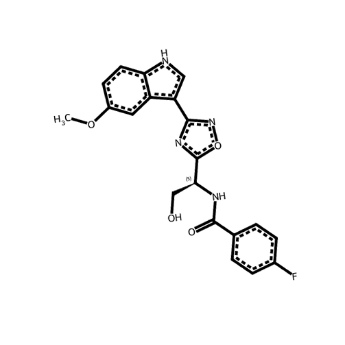 COc1ccc2[nH]cc(-c3noc([C@H](CO)NC(=O)c4ccc(F)cc4)n3)c2c1